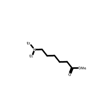 CCN(CC)CCCCCC(=O)OC